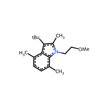 COCCn1c(C)c(C(C)(C)C)c2c(C)ccc(C)c21